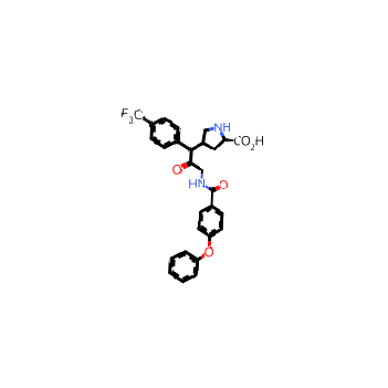 O=C(NCC(=O)C(c1ccc(C(F)(F)F)cc1)C1CNC(C(=O)O)C1)c1ccc(Oc2ccccc2)cc1